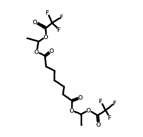 CC(OC(=O)CCCCCC(=O)OC(C)OC(=O)C(F)(F)F)OC(=O)C(F)(F)F